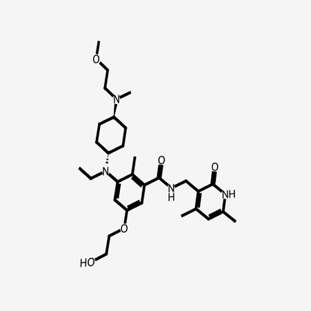 CCN(c1cc(OCCO)cc(C(=O)NCc2c(C)cc(C)[nH]c2=O)c1C)[C@H]1CC[C@H](N(C)CCOC)CC1